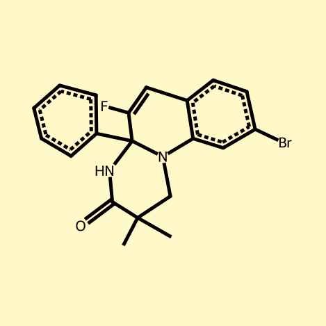 CC1(C)CN2c3cc(Br)ccc3C=C(F)C2(c2ccccc2)NC1=O